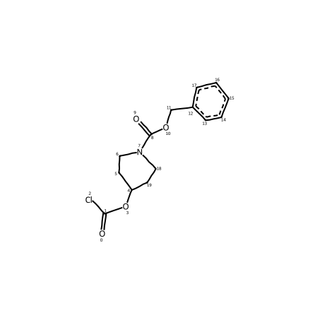 O=C(Cl)OC1CCN(C(=O)OCc2ccccc2)CC1